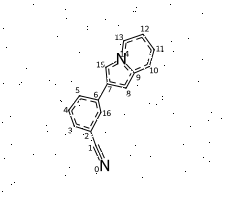 N#Cc1cccc(-c2cc3ccccn3c2)c1